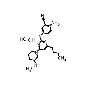 CCCCc1cc(N2CCCC(NC)C2)nc(Nc2ccc(N)c(C#N)c2)n1.Cl.Cl